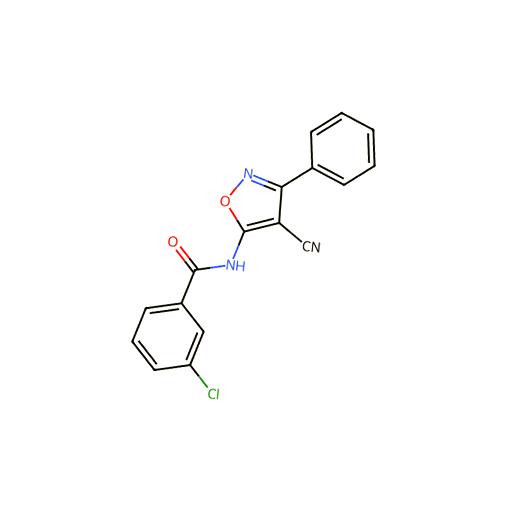 N#Cc1c(-c2ccccc2)noc1NC(=O)c1cccc(Cl)c1